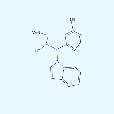 CNCC(O)C(c1cccc(C#N)c1)n1ccc2ccccc21